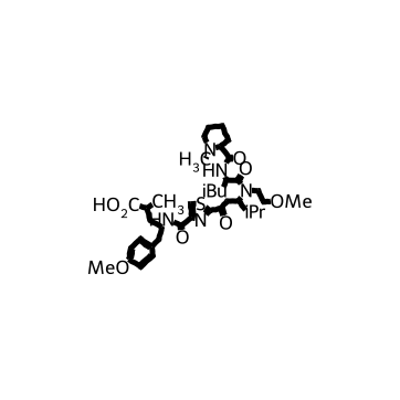 CCC(C)C(NC(=O)C1CCCCN1C)C(=O)N(CCOC)C(CC(=O)c1nc(C(=O)NC(Cc2ccc(OC)cc2)CC(C)C(=O)O)cs1)C(C)C